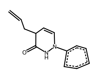 C=CCC1C=CN(c2ccccc2)NC1=O